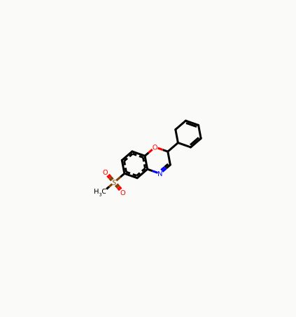 CS(=O)(=O)c1ccc2c(c1)N=CC(C1C=CC=CC1)O2